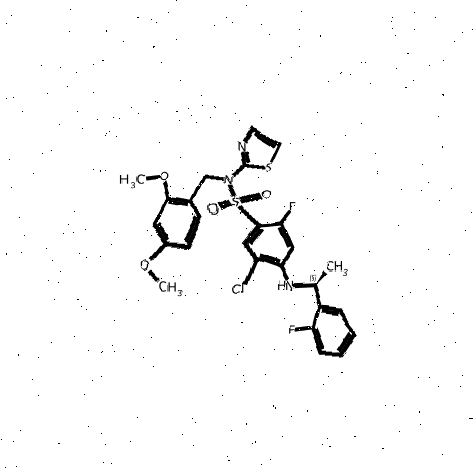 COc1ccc(CN(c2nccs2)S(=O)(=O)c2cc(Cl)c(N[C@@H](C)c3ccccc3F)cc2F)c(OC)c1